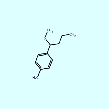 [CH2]CCC(SC)c1ccc(C)cc1